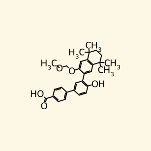 COCOc1cc2c(cc1-c1cc(-c3ccc(C(=O)O)cc3)ccc1O)C(C)(C)CCC2(C)C